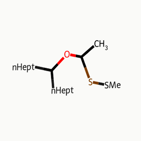 CCCCCCCC(CCCCCCC)OC(C)SSC